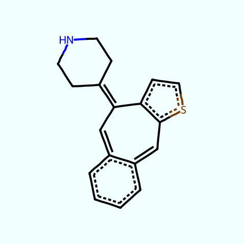 C1=c2ccccc2=Cc2sccc2C1=C1CCNCC1